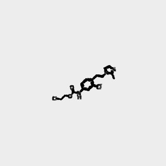 Cc1nccn1CCc1ccc(NC(=O)OCCCl)cc1Cl